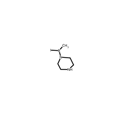 CB(I)N1CCNCC1